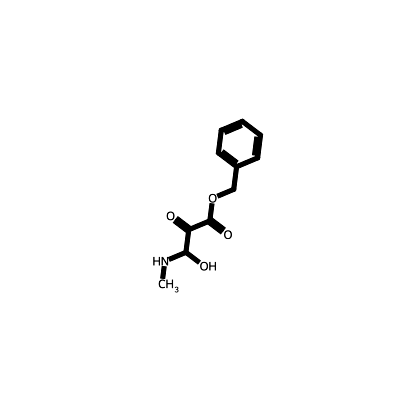 CNC(O)C(=O)C(=O)OCc1ccccc1